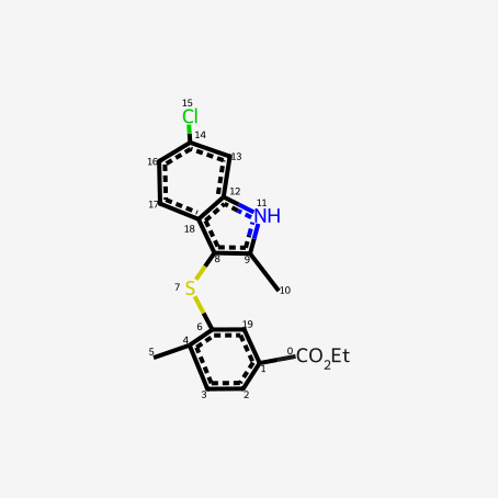 CCOC(=O)c1ccc(C)c(Sc2c(C)[nH]c3cc(Cl)ccc23)c1